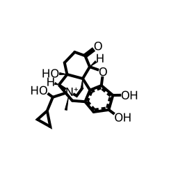 C[N@+]1(C(O)C2CC2)CC[C@]23c4c5cc(O)c(O)c4O[C@H]2C(=O)CC[C@@]3(O)[C@H]1C5